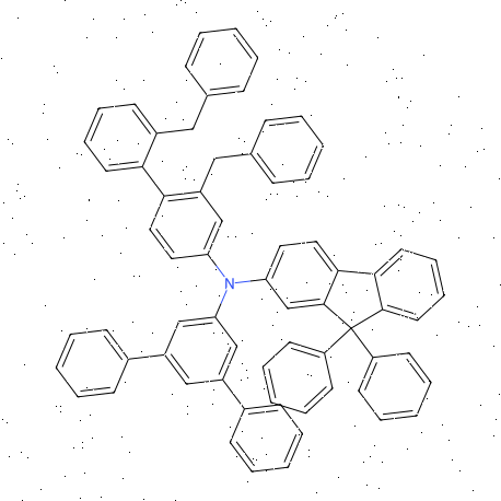 c1ccc(Cc2ccccc2-c2ccc(N(c3cc(-c4ccccc4)cc(-c4ccccc4)c3)c3ccc4c(c3)C(c3ccccc3)(c3ccccc3)c3ccccc3-4)cc2Cc2ccccc2)cc1